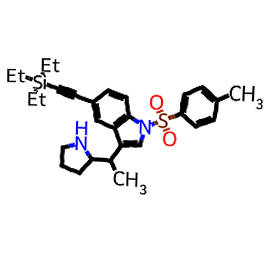 CC[Si](C#Cc1ccc2c(c1)c(C(C)C1CCCN1)cn2S(=O)(=O)c1ccc(C)cc1)(CC)CC